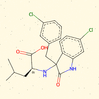 CC(C)C[C@H](NC1(Cc2cccc(Cl)c2)C(=O)Nc2cc(Cl)ccc21)C(=O)O